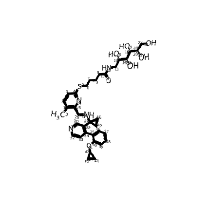 Cc1ccc(SCCCCC(=O)NC[C@H](O)[C@@H](O)[C@H](O)[C@H](O)CO)nc1CNC1(c2cnccc2-c2ccccc2OC2CC2)CC1